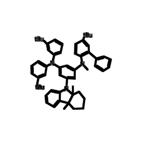 CN(c1cc(N(c2cccc(C(C)(C)C)c2)c2cccc(C(C)(C)C)c2)cc(N2c3ccccc3C3(C)CCCCC23C)c1)c1ccc(C(C)(C)C)cc1-c1ccccc1